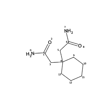 NC(=O)CC1(CC(N)=O)CCCCC1